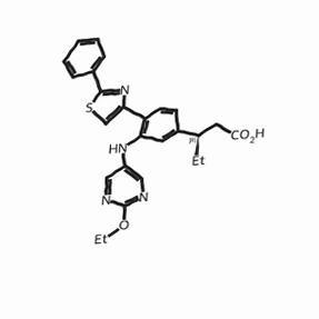 CCOc1ncc(Nc2cc([C@H](CC)CC(=O)O)ccc2-c2csc(-c3ccccc3)n2)cn1